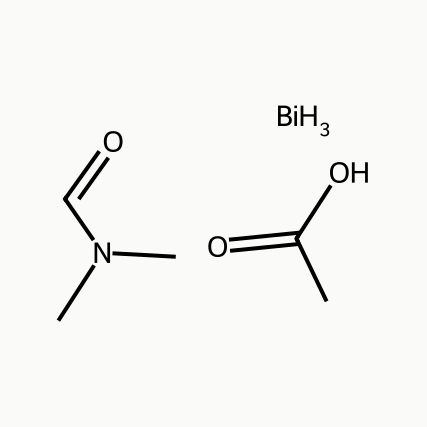 CC(=O)O.CN(C)C=O.[BiH3]